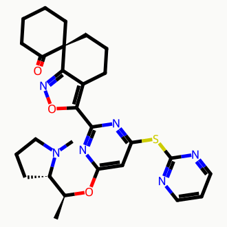 C[C@H](Oc1cc(Sc2ncccn2)nc(-c2onc3c2CCC[C@@]32CCCCC2=O)n1)[C@@H]1CCCN1C